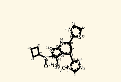 Cn1cnnc1-c1cc(-c2nccs2)nc2sc([S+]([O-])C3CCC3)c(N)c12